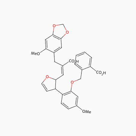 COc1ccc(C2C=COC2/C=C(\Cc2cc3c(cc2OC)OCO3)C(=O)O)c(OCc2ccccc2C(=O)O)c1